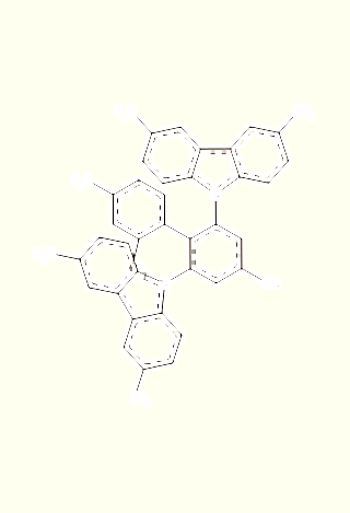 N#Cc1cc(-n2c3ccc(C(F)(F)F)cc3c3cc(C(F)(F)F)ccc32)c(-c2ccc(C(F)(F)F)cc2C(F)(F)F)c(-n2c3ccc(C(F)(F)F)cc3c3cc(C(F)(F)F)ccc32)c1